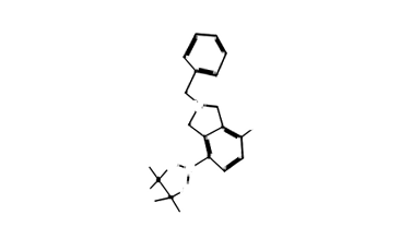 CC1(C)OB(c2ccc(F)c3c2CN(Cc2ccccc2)C3)OC1(C)C